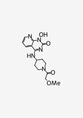 COCC(=O)N1CCC(Nc2nc(=O)n(O)c3ncccc23)CC1